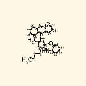 CCCCc1cccc2c1Nc1ccccc1O2.Cc1cccc2c1Nc1ccccc1S2